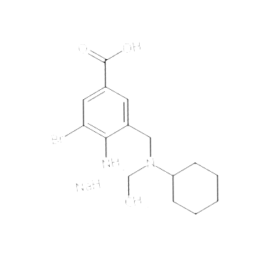 CCN(Cc1cc(C(=O)O)cc(Br)c1N)C1CCCCC1.[NaH]